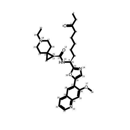 CCC(=O)CCCCC[C@H](NC(=O)[C@H]1CC12CCN(CC)CC2)c1ncc(-c2cc3cccnc3cc2OC)o1